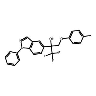 Cc1ccc(OCC(O)(c2ccc3c(cnn3-c3ccccc3)c2)C(F)(F)F)cc1